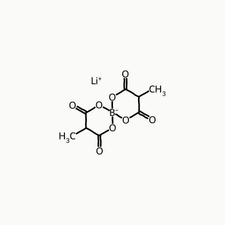 CC1C(=O)O[B-]2(OC1=O)OC(=O)C(C)C(=O)O2.[Li+]